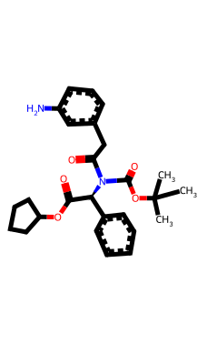 CC(C)(C)OC(=O)N(C(=O)Cc1cccc(N)c1)[C@H](C(=O)OC1CCCC1)c1ccccc1